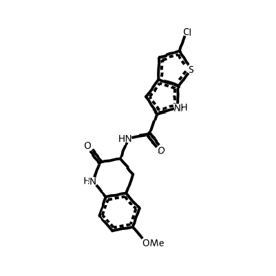 COc1ccc2c(c1)CC(NC(=O)c1cc3cc(Cl)sc3[nH]1)C(=O)N2